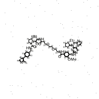 CC[C@@H]1c2nncn2-c2cnc(Nc3ccc(C(=O)NCCOCCOCCC(=O)N[C@H](C(=O)N4CCC[C@H]4C(=O)NCc4ccc(-c5scnc5C)cc4)C(C)(C)C)cc3OC)nc2N1C1CCCC1